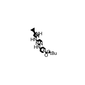 CC(C)(C)OC(=O)N1CCC(Nc2nccc(Nc3cc(C4CC4)[nH]n3)n2)CC1